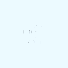 N[C@]1(CCC(=O)O)C=CC=CC1